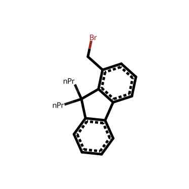 CCCC1(CCC)c2ccccc2-c2cccc(CBr)c21